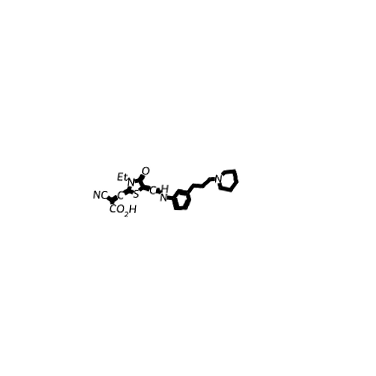 CCn1c(=C=C(C#N)C(=O)O)sc(=C=CNc2cccc(CCCN3CCCCC3)c2)c1=O